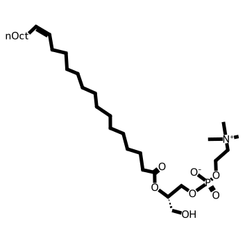 CCCCCCCC/C=C\CCCCCCCCCCCCCC(=O)O[C@@H](CO)COP(=O)([O-])OCC[N+](C)(C)C